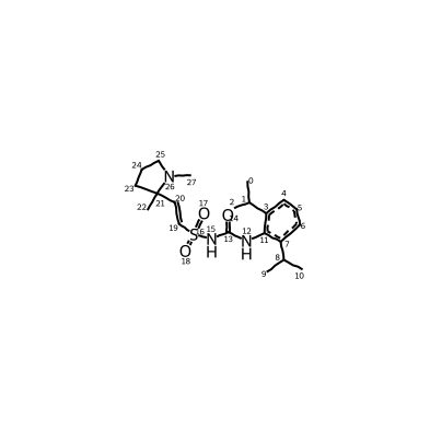 CC(C)c1cccc(C(C)C)c1NC(=O)NS(=O)(=O)C=CC1(C)CCCN1C